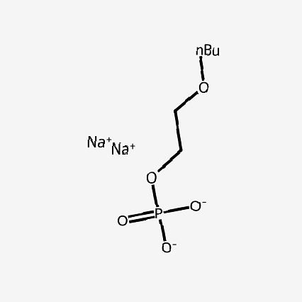 CCCCOCCOP(=O)([O-])[O-].[Na+].[Na+]